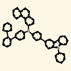 c1ccc(-c2ccccc2-c2ccc(N(c3ccc(-c4ccc5c(c4)c4ccccc4n5-c4ccccc4)cc3)c3ccc4ccc5ccccc5c4c3)cc2)cc1